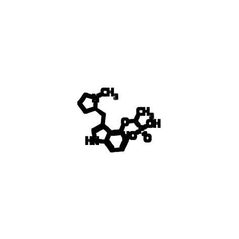 CC(Oc1cccc2[nH]cc(C[C@H]3CCCN3C)c12)P(=O)(O)O